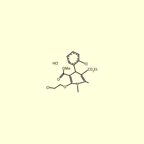 CCOC(=O)C1=C(C)N(C)C(OCCCl)=C(C(=O)OC)C1c1ccccc1Cl.Cl